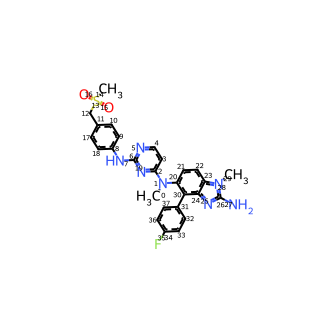 CN(c1ccnc(Nc2ccc(CS(C)(=O)=O)cc2)n1)c1ccc2c(nc(N)n2C)c1-c1ccc(F)cc1